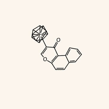 O=c1c([C]23[CH]4[CH]5[CH]6[CH]2[Fe]56432789[CH]3[CH]2[CH]7[CH]8[CH]39)coc2ccc3ccccc3c12